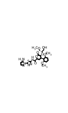 COC[C@H](CO)Oc1c(-c2c(OC)cccc2OC)cc(C(=O)Nc2nnc(-n3nccc3N)s2)oc1=O